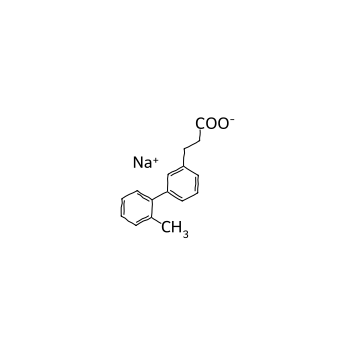 Cc1ccccc1-c1cccc(CCC(=O)[O-])c1.[Na+]